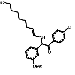 CCCCCCCCCCCCCCCCC=CNC(C(=O)c1ccc(Cl)cc1)c1cccc(OC)c1